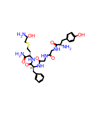 NC(=O)[C@H](CCSCC(N)O)NC(=O)[C@H](Cc1ccccc1)NC(=O)CNC(=O)CNC(=O)[C@@H](N)Cc1ccc(O)cc1